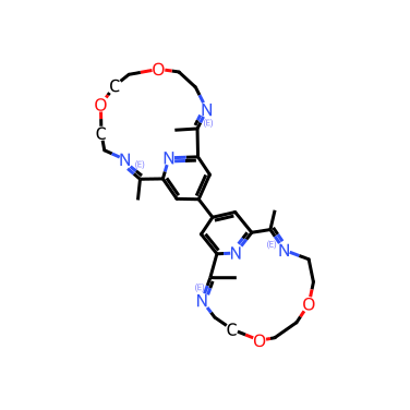 C/C1=N\CCOCCOCC/N=C(\C)c2cc(-c3cc4nc(c3)/C(C)=N/CCOCCOCC/N=C/4C)cc1n2